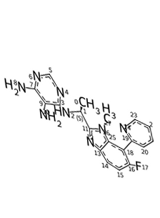 C[C@H](Nc1ncnc(N)c1N)c1nc2ccc(F)c(-c3ccccn3)c2n1C